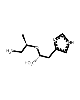 C[C@H](CN)O[C@H](Cc1c[nH]cn1)C(=O)O